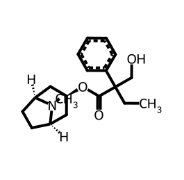 CCC(CO)(C(=O)O[C@H]1C[C@H]2CC[C@@H](C1)N2C)c1ccccc1